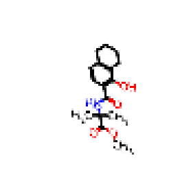 COC(=O)C(C)(C)NC(=O)c1ccc2c(c1O)CCCC2